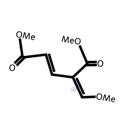 CO/C=C(/C=CC(=O)OC)C(=O)OC